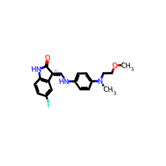 COCCN(C)c1ccc(N/C=C2/C(=O)Nc3ccc(F)cc32)cc1